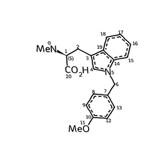 CN[C@@H](Cc1cn(Cc2ccc(OC)cc2)c2ccccc12)C(=O)O